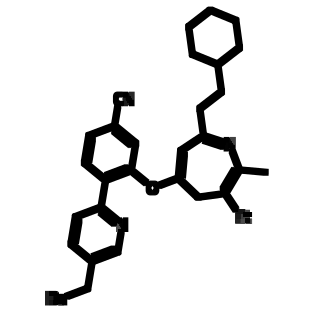 CCC1=C(C)N=C(CCC2CCCCC2)C=C(Oc2cc(C#N)ccc2-c2ccc(CC(C)CC)cn2)C1